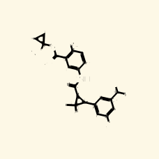 N#CC1(NC(=O)c2cc(NC(=O)C3C(c4cc(F)cc(C(F)F)c4)C3(Cl)Cl)ccc2Cl)CC1